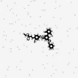 CCOC(=O)CCc1ccc(NCc2cc(OCc3ccccc3)cc(-c3c(C)cccc3C)c2)cc1F